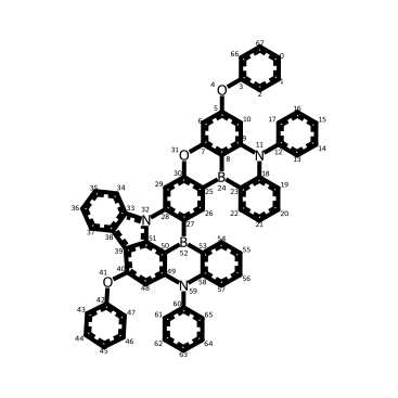 c1ccc(Oc2cc3c4c(c2)N(c2ccccc2)c2ccccc2B4c2cc4c(cc2O3)-n2c3ccccc3c3c(Oc5ccccc5)cc5c(c32)B4c2ccccc2N5c2ccccc2)cc1